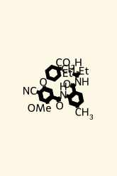 CCC(CC)NC(=O)c1ccc(C)cc1NC(=O)c1cc(O[C@H]2CC[C@@](C)(C(=O)O)CC2)c(C#N)cc1OC